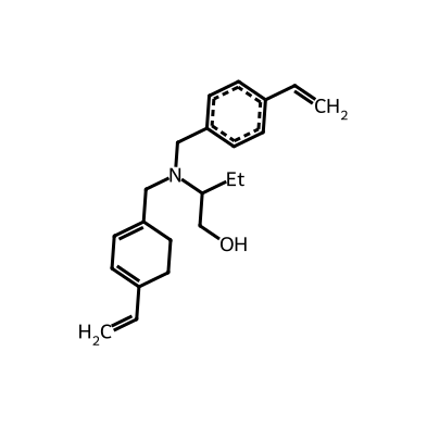 C=CC1=CC=C(CN(Cc2ccc(C=C)cc2)C(CC)CO)CC1